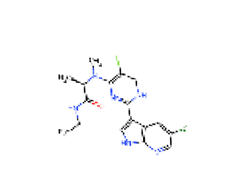 C[C@H](C(=O)NCC(F)(F)F)N(C)C1=C(F)CNC(c2c[nH]c3ncc(Cl)cc23)=N1